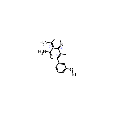 CCOc1cccc(/C=C(C)/C(=N/C)C(/C(N)=O)=C(\C)N)c1